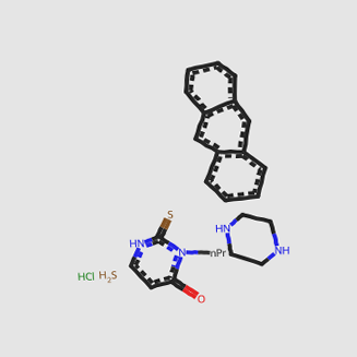 C1CNCCN1.CCCn1c(=O)cc[nH]c1=S.Cl.S.c1ccc2cc3ccccc3cc2c1